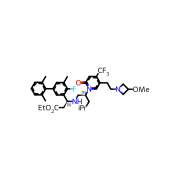 CCOC(=O)C[C@H](NC[C@H](CC(C)C)n1cc(CCN2CC(OC)C2)c(C(F)(F)F)cc1=O)c1cc(-c2c(C)cccc2C)cc(C)c1F